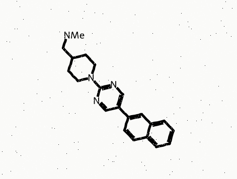 CNCC1CCN(c2ncc(-c3ccc4ccccc4c3)cn2)CC1